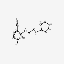 Cc1ccc(C#N)c(OCCOC2CCCCO2)n1